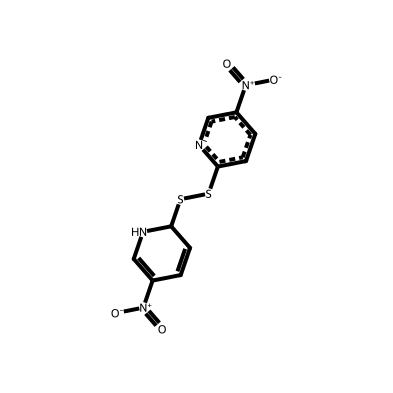 O=[N+]([O-])C1=CNC(SSc2ccc([N+](=O)[O-])cn2)C=C1